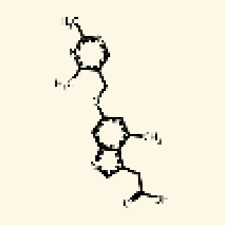 Cc1ncc(COc2cc(C)c3c(CC(=O)O)csc3c2)c(C)n1